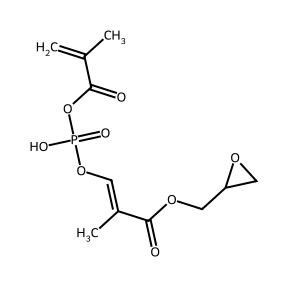 C=C(C)C(=O)OP(=O)(O)OC=C(C)C(=O)OCC1CO1